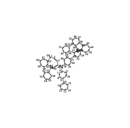 C=C1/C=C\C(N(c2ccc(-c3ccccc3)cc2)c2ccc(-c3ccccc3-c3ccccc3-c3cccc4c3sc3ccccc34)cc2)=C/N(c2ccccc2)c2ccccc21